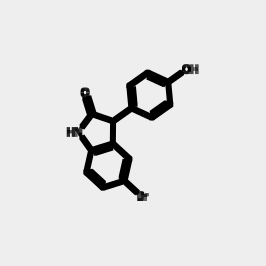 O=C1Nc2ccc(Br)cc2C1c1ccc(O)cc1